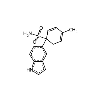 CC1=CCC(c2ccc3[nH]ccc3c2)(S(N)(=O)=O)C=C1